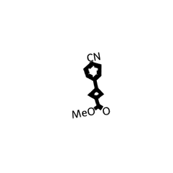 COC(=O)C12CC(c3ccc(C#N)cc3)(C1)C2